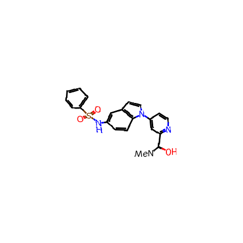 CNC(O)c1cc(-n2ccc3cc(NS(=O)(=O)c4ccccc4)ccc32)ccn1